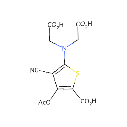 CC(=O)Oc1c(C(=O)O)sc(N(CC(=O)O)CC(=O)O)c1C#N